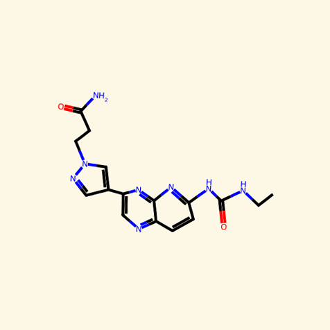 CCNC(=O)Nc1ccc2ncc(-c3cnn(CCC(N)=O)c3)nc2n1